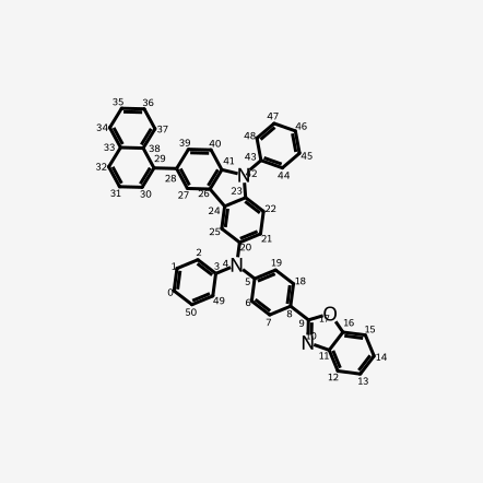 c1ccc(N(c2ccc(-c3nc4ccccc4o3)cc2)c2ccc3c(c2)c2cc(-c4cccc5ccccc45)ccc2n3-c2ccccc2)cc1